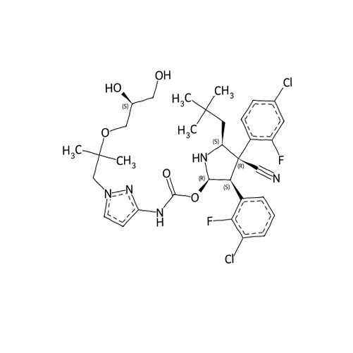 CC(C)(C)C[C@@H]1N[C@H](OC(=O)Nc2ccn(CC(C)(C)OC[C@@H](O)CO)n2)[C@H](c2cccc(Cl)c2F)[C@@]1(C#N)c1ccc(Cl)cc1F